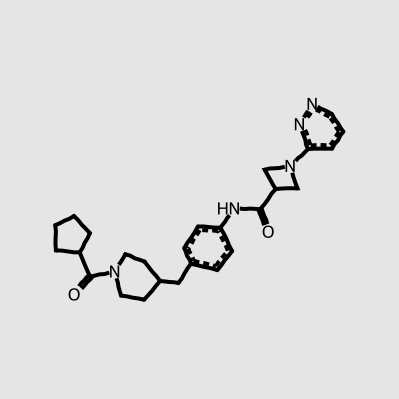 O=C(Nc1ccc(CC2CCN(C(=O)C3CCCC3)CC2)cc1)C1CN(c2cccnn2)C1